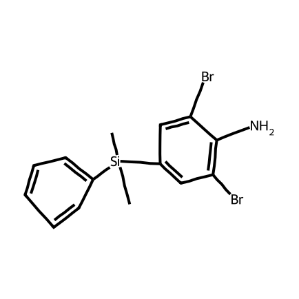 C[Si](C)(c1ccccc1)c1cc(Br)c(N)c(Br)c1